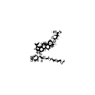 COCCOCCOCCO[C@H](C)[C@@H](CN[C@]12CC[C@@H](C(C)C)[C@@H]1[C@H]1CC[C@@H]3[C@@]4(C)CC[C@H](OC(=O)CC(C)(C)C(=O)O)C(C)(C)[C@@H]4CC[C@@]3(C)[C@]1(C)CC2)N1CCS(=O)(=O)CC1